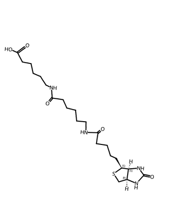 O=C(O)CCCCCNC(=O)CCCCCNC(=O)CCCC[C@@H]1SC[C@@H]2NC(=O)N[C@@H]21